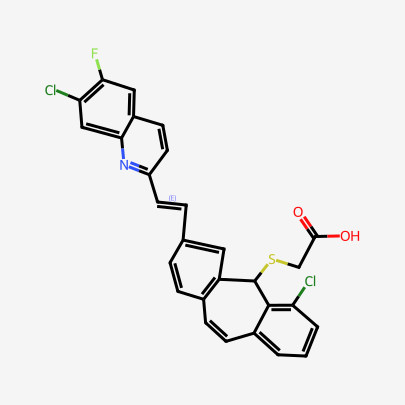 O=C(O)CSC1c2cc(/C=C/c3ccc4cc(F)c(Cl)cc4n3)ccc2C=Cc2cccc(Cl)c21